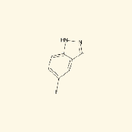 Fc1ccc2[nH]n[c]c2c1